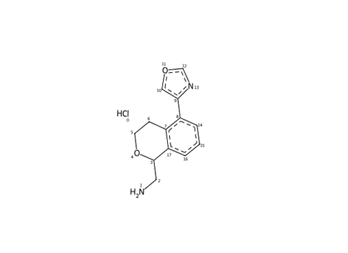 Cl.NCC1OCCc2c(-c3cocn3)cccc21